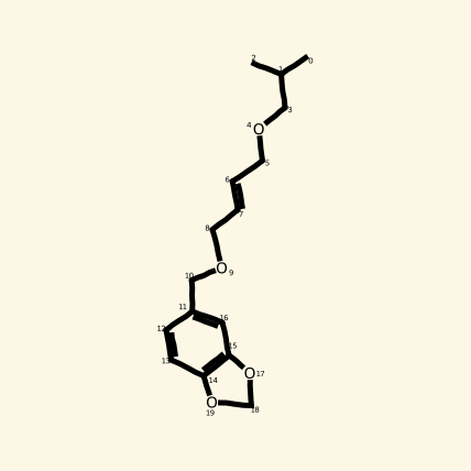 CC(C)COCC=CCOCc1ccc2c(c1)OCO2